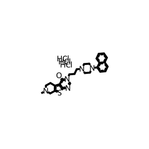 CN1CCc2c(sc3ncn(CCCN4CCN(c5cccc6ccccc56)CC4)c(=O)c23)C1.Cl.Cl.Cl